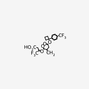 C=C(CC(=O)OC1(c2ccc(C(F)(F)F)cc2)CCC1)C(=O)O[C@@H](CC(=O)O)C(F)(F)F